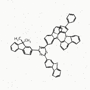 CC1(C)c2ccccc2-c2ccc(-c3nc(-c4ccc5c(c4)sc4ccccc45)nc(-c4ccc5c6ccccc6n(-c6cccc7c8ccccc8n(-c8cccc(-c9ccccc9)c8)c67)c5c4)n3)cc21